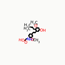 CCOc1cc(O)cc(/C=C/c2ccc(NCC(=O)O)c(OC)c2)c1CC=C(C)C